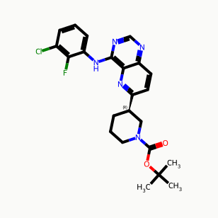 CC(C)(C)OC(=O)N1CCC[C@@H](c2ccc3ncnc(Nc4cccc(Cl)c4F)c3n2)C1